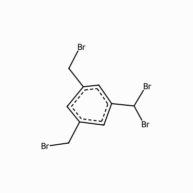 BrCc1cc(CBr)cc(C(Br)Br)c1